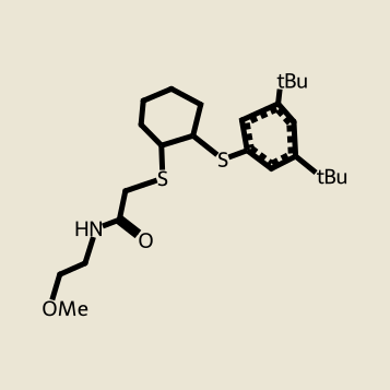 COCCNC(=O)CSC1CCCCC1Sc1cc(C(C)(C)C)cc(C(C)(C)C)c1